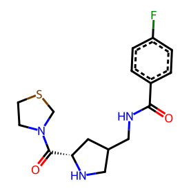 O=C(NCC1CN[C@H](C(=O)N2CCSC2)C1)c1ccc(F)cc1